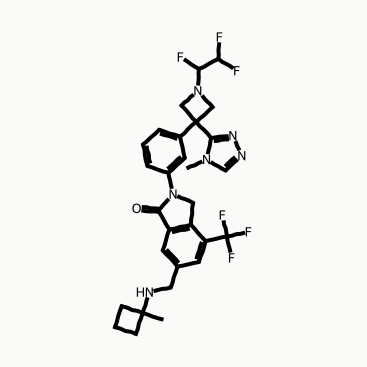 Cn1cnnc1C1(c2cccc(N3Cc4c(cc(CNC5(C)CCC5)cc4C(F)(F)F)C3=O)c2)CN(C(F)C(F)F)C1